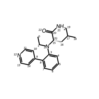 CCN(c1ccccc1-c1ccncc1)[C@@H](CC(C)C)C(N)=O